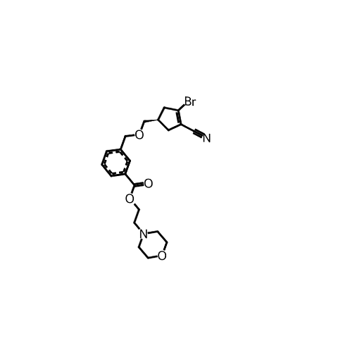 N#CC1=C(Br)C[C@H](COCc2cccc(C(=O)OCCN3CCOCC3)c2)C1